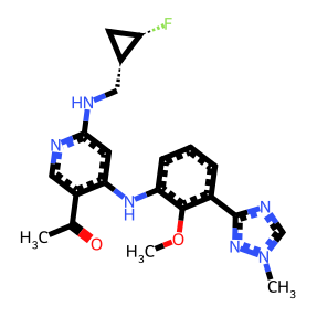 COc1c(Nc2cc(NC[C@@H]3C[C@@H]3F)ncc2C(C)=O)cccc1-c1ncn(C)n1